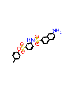 Cc1ccc(OS(=O)(=O)c2cccc(NS(=O)(=O)c3ccc4ccc(N)cc4c3)c2)cc1